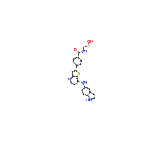 O=C(NCCO)c1ccc(-c2cc3nccc(Nc4ccc5[nH]ccc5c4)c3s2)cc1